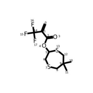 C=C(C(=O)OC1CSCC(C)(C)CS1)C(F)(F)F